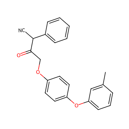 Cc1cccc(Oc2ccc(OCC(=O)C(C#N)c3ccccc3)cc2)c1